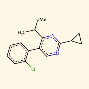 COC(C)c1nc(C2CC2)ncc1-c1ccccc1Cl